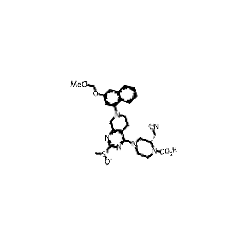 COCOc1cc(N2CCc3c(nc([S+](C)[O-])nc3N3CCN(C(=O)O)[C@@H](CC#N)C3)C2)c2ccccc2c1